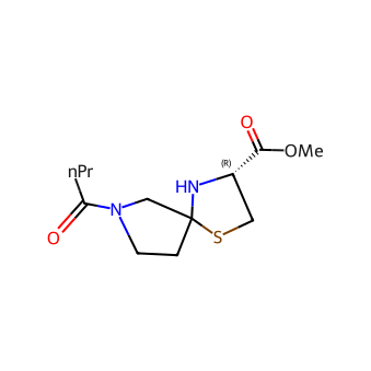 CCCC(=O)N1CCC2(C1)N[C@H](C(=O)OC)CS2